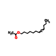 CCCC=C=CCCCCCCOC(C)=O